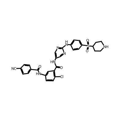 N#Cc1ccc(C(=O)Nc2ccc(Cl)c(C(=O)Nc3cnc(Nc4ccc(S(=O)(=O)C5CCNCC5)cc4)nc3)c2)cc1